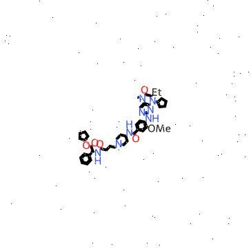 CC[C@@H]1C(=O)N(C)c2cnc(Nc3ccc(C(=O)NC4CCN(CCCC(=O)N[C@@H](C(=O)OC5CCCC5)c5ccccc5)CC4)cc3OC)nc2N1C1CCCC1